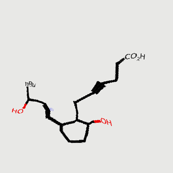 CCCCC(O)/C=C/C1CCC(O)C1CC#CCCC(=O)O